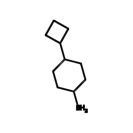 BC1CCC(C2CCC2)CC1